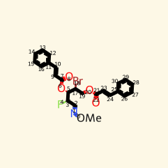 CON=C[C@@H](F)[C@H](OC(=O)C=Cc1ccccc1)[C@@H](Br)COC(=O)C=Cc1ccccc1